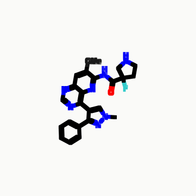 COc1cc2ncnc(-c3cn(C)nc3-c3ccccc3)c2nc1NC(=O)C1(F)CCNC1